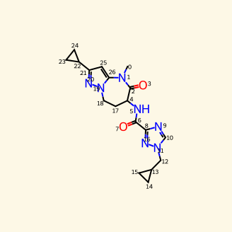 CN1C(=O)C(NC(=O)c2ncn(CC3CC3)n2)CCn2nc(C3CC3)cc21